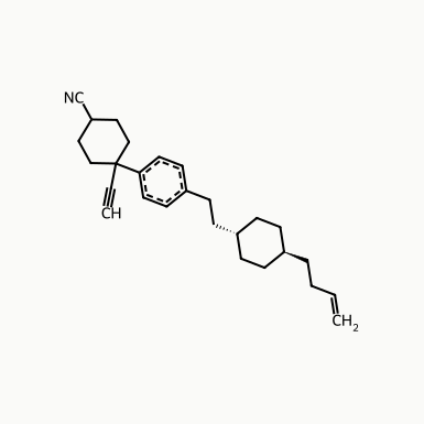 C#CC1(c2ccc(CC[C@H]3CC[C@H](CCC=C)CC3)cc2)CCC(C#N)CC1